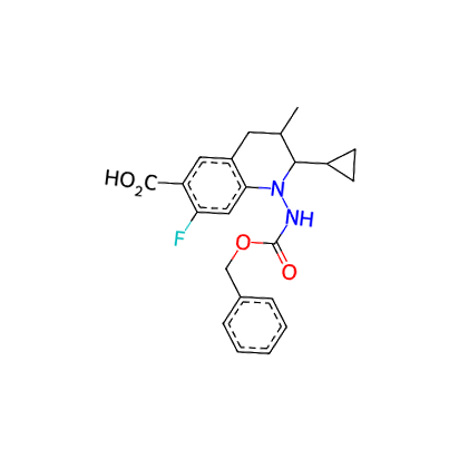 CC1Cc2cc(C(=O)O)c(F)cc2N(NC(=O)OCc2ccccc2)C1C1CC1